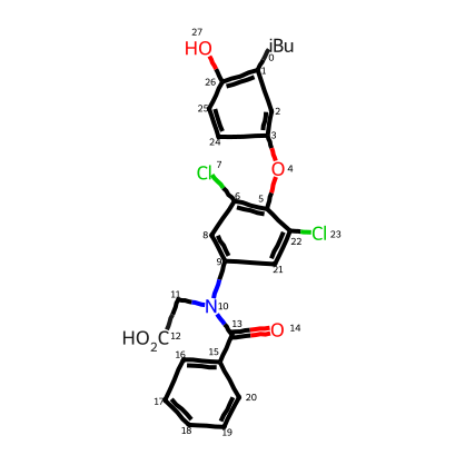 CCC(C)c1cc(Oc2c(Cl)cc(N(CC(=O)O)C(=O)c3ccccc3)cc2Cl)ccc1O